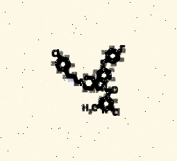 Cc1cc(C(=O)N2CC3(CCN(C/C=C/c4ccc(Cl)cc4)CC3)c3cc(Sc4ccc(F)cc4)ccc32)cc(Cl)n1